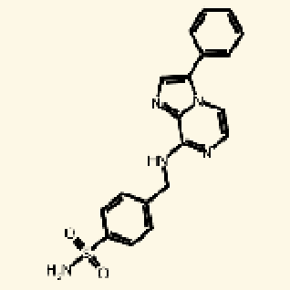 NS(=O)(=O)c1ccc(CNc2nccn3c(-c4ccccc4)cnc23)cc1